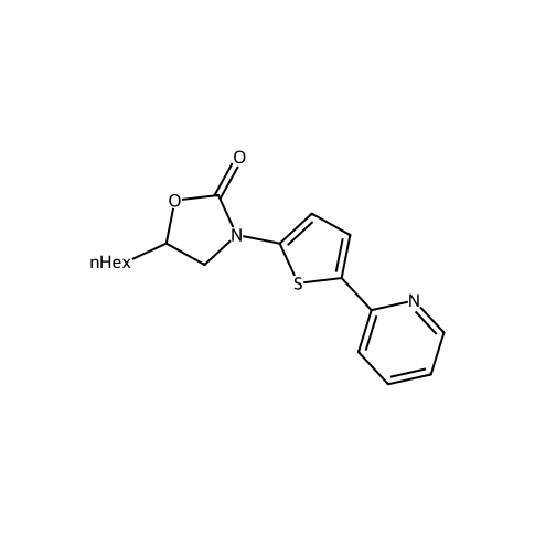 CCCCCCC1CN(c2ccc(-c3ccccn3)s2)C(=O)O1